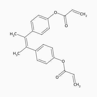 C=CC(=O)Oc1ccc(C(C)=C(C)c2ccc(OC(=O)C=C)cc2)cc1